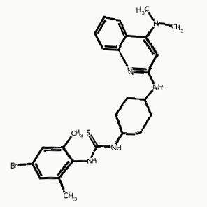 Cc1cc(Br)cc(C)c1NC(=S)NC1CCC(Nc2cc(N(C)C)c3ccccc3n2)CC1